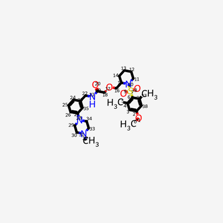 COc1cc(C)c(S(=O)(=O)N2CCCCC2COCC(=O)NCc2cccc(N3CCN(C)CC3)c2)c(C)c1